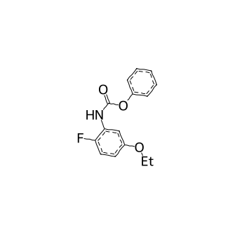 CCOc1ccc(F)c(NC(=O)Oc2ccccc2)c1